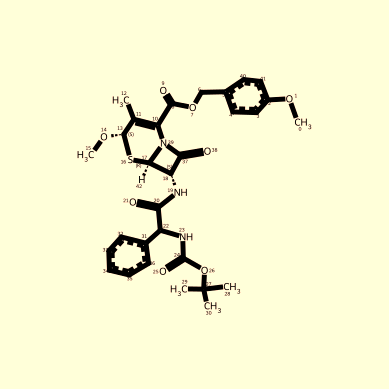 COc1ccc(COC(=O)C2=C(C)[C@@H](OC)S[C@@H]3[C@@H](NC(=O)C(NC(=O)OC(C)(C)C)c4ccccc4)C(=O)N23)cc1